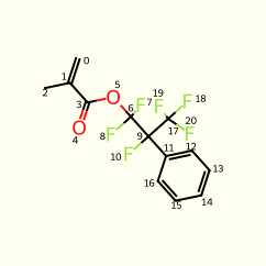 C=C(C)C(=O)OC(F)(F)C(F)(c1ccccc1)C(F)(F)F